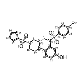 O=S(=O)(NC[C@H]1CN(S(=O)(=O)c2cccs2)CCN1c1ccc(O)cc1)c1ccc(F)cc1